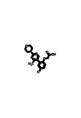 Cc1nc(N2CCOCC2)ncc1-c1cc(Cl)ccc1OCC(=O)O